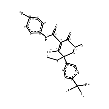 CCC1(c2ccc(C(F)(F)F)nc2)CN(C)C(=O)C(C(=S)Nc2ccc(F)cc2)=C1O